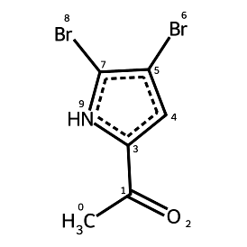 CC(=O)c1cc(Br)c(Br)[nH]1